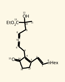 CCCCCC/C=C/C1=C(CC=C=CCC(C)(O)C(=O)OCC)C(=O)CC1